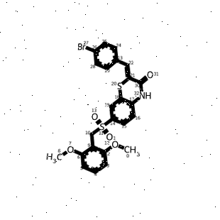 COc1cccc(OC)c1CS(=O)(=O)c1ccc2c(c1)S/C(=C\c1ccc(Br)cc1)C(=O)N2